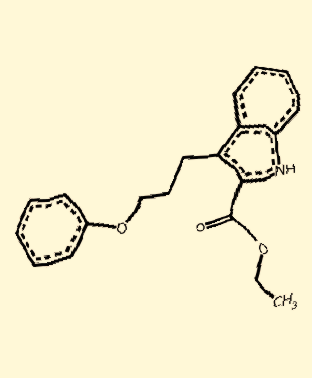 CCOC(=O)c1[nH]c2ccccc2c1CCCOc1ccccc1